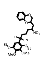 CCOc1cc(C(C#N)(CC)CCCC(CC2COc3ccccc3O2)[N+](=O)[O-])c(OCC)c(OC)c1OC